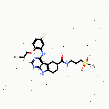 CCCOc1ccc(F)cc1Nc1ncnc2[nH]c3c(c12)CC(C(=O)NCCCS(C)(=O)=O)CC3